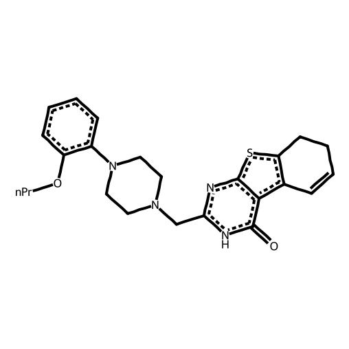 CCCOc1ccccc1N1CCN(Cc2nc3sc4c(c3c(=O)[nH]2)C=CCC4)CC1